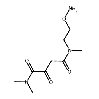 CN(C)C(=O)C(=O)CC(=O)N(C)CCON